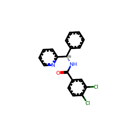 O=C(N[C@@H](c1ccccc1)c1ccccn1)c1ccc(Cl)c(Cl)c1